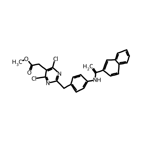 C=C(Nc1ccc(Cc2nc(Cl)c(CC(=O)OC)c(Cl)n2)cc1)c1ccc2ccccc2c1